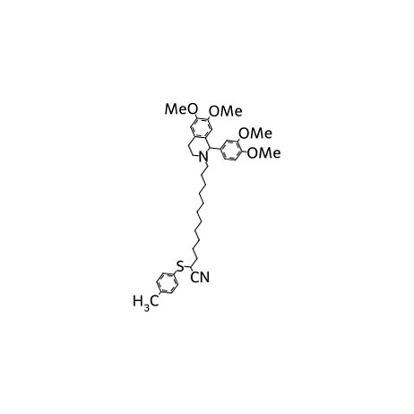 COc1ccc(C2c3cc(OC)c(OC)cc3CCN2CCCCCCCCCCCC(C#N)Sc2ccc(C)cc2)cc1OC